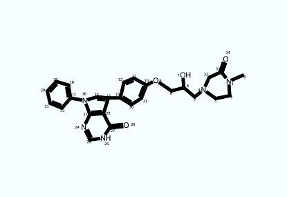 CN1CCN(CC(O)COc2ccc(-c3cn(-c4ccccc4)c4nc[nH]c(=O)c34)cc2)CC1=O